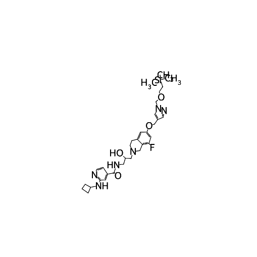 C[Si](C)(C)CCOCn1cc(COc2cc(F)c3c(c2)CCN(CC(O)CNC(=O)c2ccnc(NC4CCC4)c2)C3)cn1